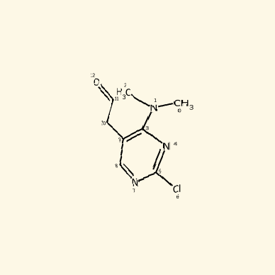 CN(C)c1nc(Cl)ncc1CC=O